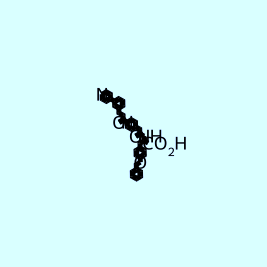 O=C(CC1CCN(C(=O)CCc2cccc(-c3ccncc3)c2)CC1)NC(Cc1ccc(OCc2ccccc2)cc1)C(=O)O